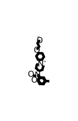 COCCO[C@H]1CC[C@](C)(N2CCC(n3c(=O)oc4ccc(C)cc43)CC2)CC1